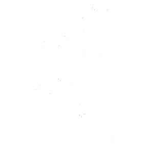 CN(CC(=O)N1CC(C(=O)Nc2ccccc2)CC1C#N)C(=O)c1cccc2ccncc12